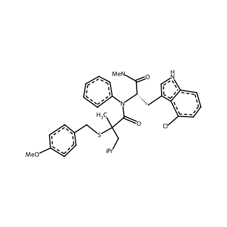 CNC(=O)[C@H](Cc1c[nH]c2cccc(Cl)c12)N(C(=O)C(C)(CC(C)C)SCc1ccc(OC)cc1)c1ccccc1